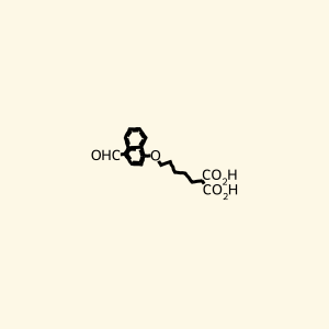 O=Cc1ccc(OCCCCCC(C(=O)O)C(=O)O)c2ccccc12